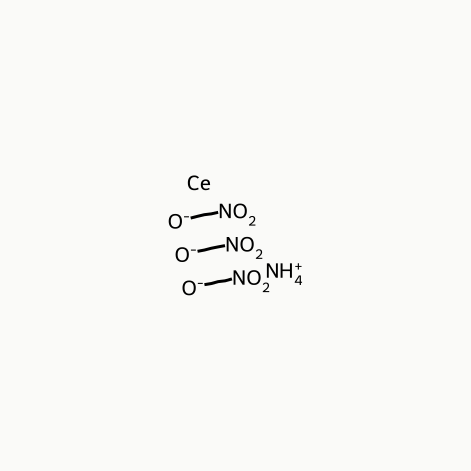 O=[N+]([O-])[O-].O=[N+]([O-])[O-].O=[N+]([O-])[O-].[Ce].[NH4+]